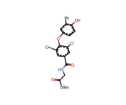 COC(=O)CNC(=O)c1cc(Cl)c(Oc2ccc(O)c(C(C)C)c2)c(Cl)c1